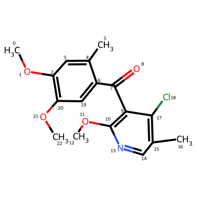 COc1cc(C)c(C(=O)c2c(OC)ncc(C)c2Cl)cc1OC